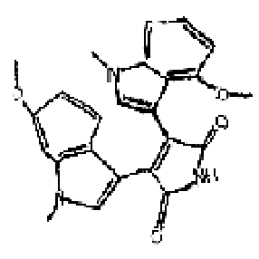 COc1ccc2c(C3=C(c4cn(C)c5cccc(OC)c45)C(=O)NC3=O)cn(C)c2c1